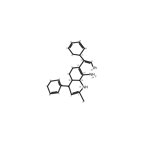 CC1=CC(C2=CCCC=C2)C2CCC(/C(=C\C(C)C)C3C=CC=CC3)=C(N)C2N1